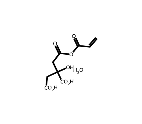 C=CC(=O)OC(=O)CC(O)(CC(=O)O)C(=O)O.O